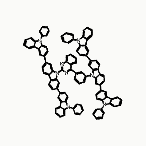 c1ccc(-n2c3ccccc3c3cc(-c4ccc5c6ccc(-c7ccc8c(c7)c7ccccc7n8-c7ccccc7)cc6n(-c6cccc(-c7nc(-n8c9cc(-c%10ccc%11c(c%10)c%10ccccc%10n%11-c%10ccccc%10)ccc9c9ccc(-c%10ccc%11c(c%10)c%10ccccc%10n%11-c%10ccccc%10)cc98)nc8ccccc78)c6)c5c4)ccc32)cc1